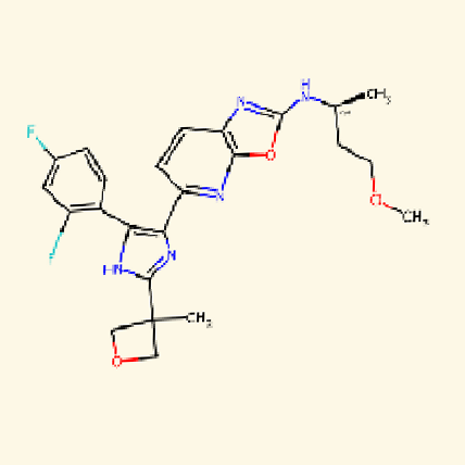 COCC[C@H](C)Nc1nc2ccc(-c3nc(C4(C)COC4)[nH]c3-c3ccc(F)cc3F)nc2o1